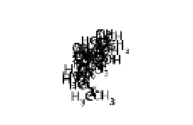 CC(C)=CCC[C@@](C)(O)[C@H]1CC[C@]2(C)[C@@H]1[C@H](O)C[C@@H]1[C@@]3(C)CC[C@H](O)C(C)(C)[C@@H]3[C@@H](O[C@@H]3O[C@H](CO)[C@@H](O)[C@H](O)[C@H]3O[C@@H]3O[C@@H](C)[C@H](O)[C@H](O)[C@H]3O)C[C@]12C